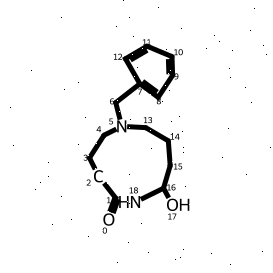 O=C1CCCN(Cc2ccccc2)CCCC(O)N1